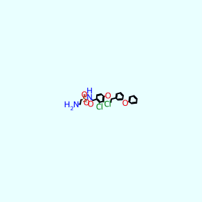 CC(Oc1ccc(C(=O)NS(=O)(=O)CCN)c(Cl)c1Cl)c1cccc(Oc2ccccc2)c1